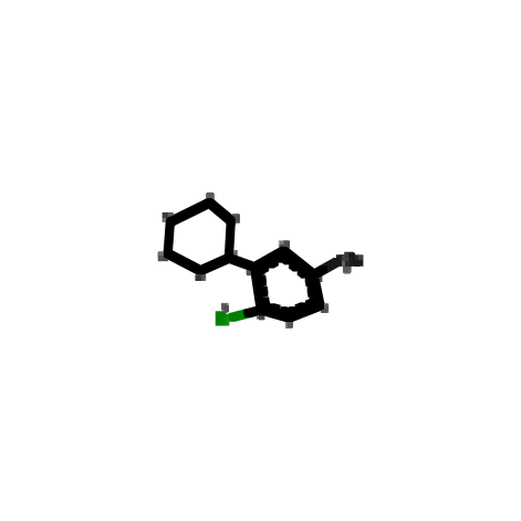 CCCCc1ccc(Br)c(C2CCCCC2)c1